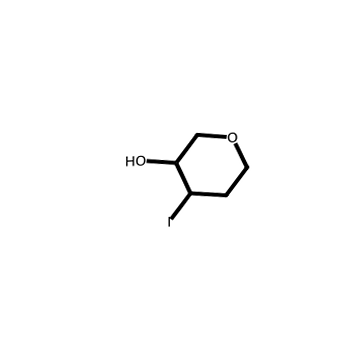 OC1COCCC1I